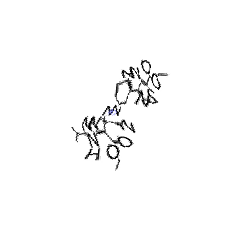 CCOC(=O)c1snc2c1nnc1ccc(/N=N/c3c(C#N)c(C(=O)OCC)c4[nH]c(C(C)C)nn34)cc12